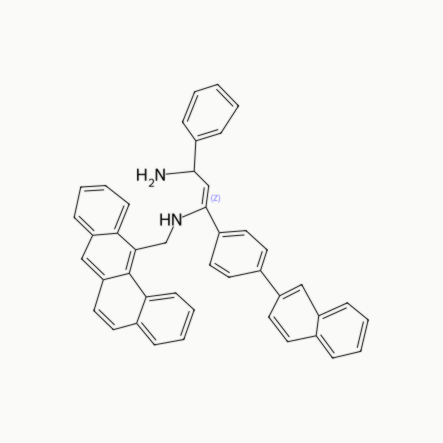 NC(/C=C(\NCc1c2ccccc2cc2ccc3ccccc3c12)c1ccc(-c2ccc3ccccc3c2)cc1)c1ccccc1